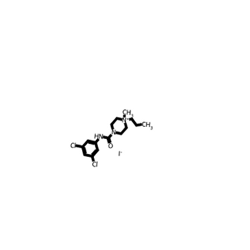 CCC[N+]1(C)CCN(C(=O)Nc2cc(Cl)cc(Cl)c2)CC1.[I-]